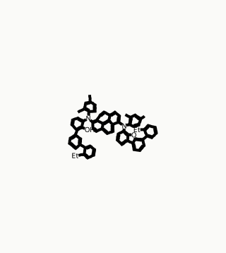 CCc1ccccc1-c1cccc(-c2cccc(N(c3ccc(C)cc3C)c3ccc4ccc5c(N(c6ccc(C)cc6C)c6cccc7c6oc6c(-c8ccccc8CC)cccc67)ccc6ccc3c4c65)c2O)c1